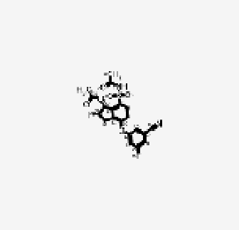 CC(=O)NS(=O)(=O)c1ccc(Oc2cc(F)cc(C#N)c2)c2c1[C@H](OC(C)=O)[C@H](F)C2